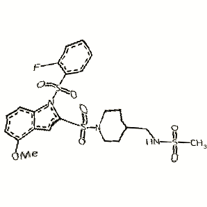 COc1cccc2c1cc(S(=O)(=O)N1CCC(CNS(C)(=O)=O)CC1)n2S(=O)(=O)c1ccccc1F